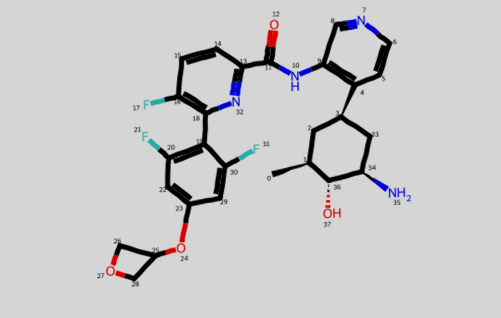 C[C@H]1C[C@@H](c2ccncc2NC(=O)c2ccc(F)c(-c3c(F)cc(OC4COC4)cc3F)n2)C[C@@H](N)[C@@H]1O